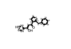 O=C(C=C(O)c1nn[nH]n1)c1ccsc1Cc1ccccc1